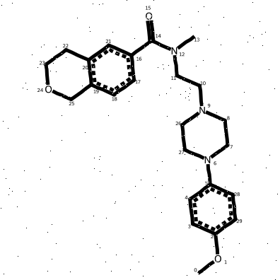 COc1ccc(N2CCN(CCN(C)C(=O)c3ccc4c(c3)CCOC4)CC2)cc1